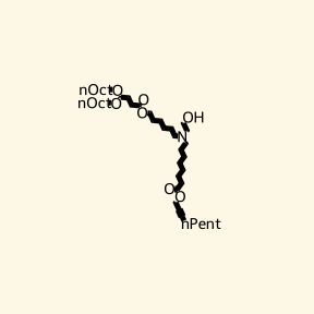 CCCCCC#CCOC(=O)CCCCCCCN(CCO)CCCCCCOC(=O)CCC(OCCCCCCCC)OCCCCCCCC